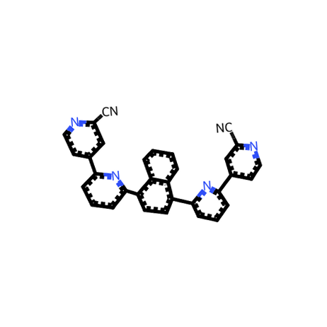 N#Cc1cc(-c2cccc(-c3ccc(-c4cccc(-c5ccnc(C#N)c5)n4)c4ccccc34)n2)ccn1